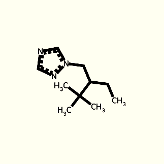 CCC(Cn1cncn1)C(C)(C)C